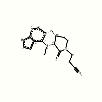 C[C@@H]1CCN(CCC#N)C(=O)[C@@H]1N(C)c1ncnc2[nH]ccc12